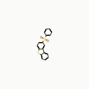 O=S(=O)(c1ccccc1)c1ccc2sc3ccccc3c2c1